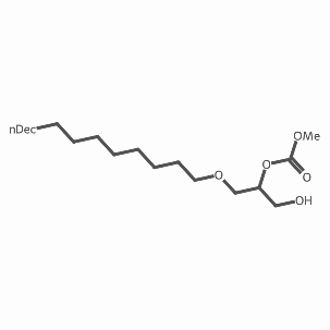 CCCCCCCCCCCCCCCCCCOCC(CO)OC(=O)OC